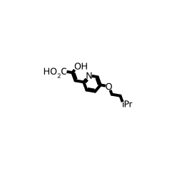 CC(C)CCOc1ccc(C=C(O)C(=O)O)nc1